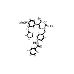 CCC1OC(C=O)N(Cc2ccc(NC(=O)c3cnccn3)cc2)N=C1c1ccc(OC)c(OC2CCCC2)c1